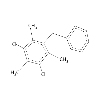 Cc1c(Cl)c(C)c([CH]c2ccccc2)c(C)c1Cl